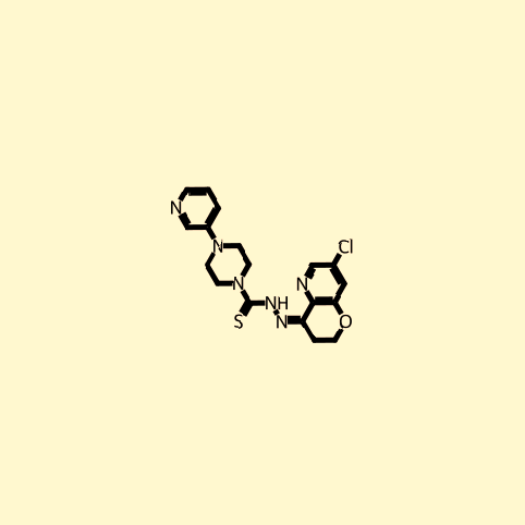 S=C(N/N=C1/CCOc2cc(Cl)cnc21)N1CCN(c2cccnc2)CC1